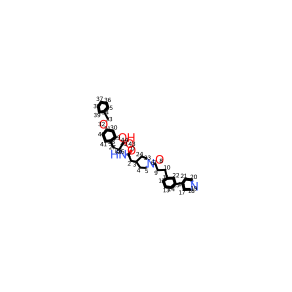 O=C(CC1CCN(C(=O)CCc2cccc(-c3ccncc3)c2)CC1)N[C@@H](Cc1ccc(OCc2ccccc2)cc1)C(=O)O